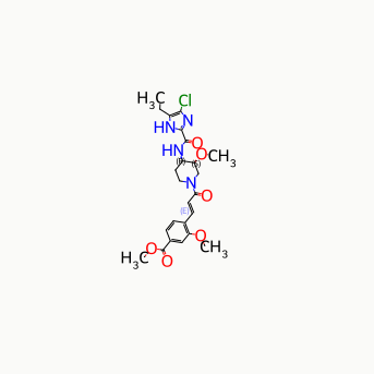 CCc1[nH]c(C(=O)N[C@@H]2CCN(C(=O)/C=C/c3ccc(C(=O)OC)cc3OC)C[C@@H]2OC)nc1Cl